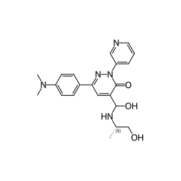 C[C@@H](CO)NC(O)c1cc(-c2ccc(N(C)C)cc2)nn(-c2cccnc2)c1=O